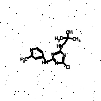 CC(C)(O)CNc1nc(Cl)nc(Nc2ccnc(C(F)(F)F)c2)n1